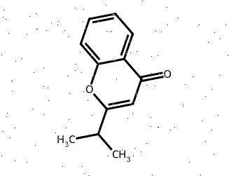 CC(C)c1cc(=O)c2ccccc2o1